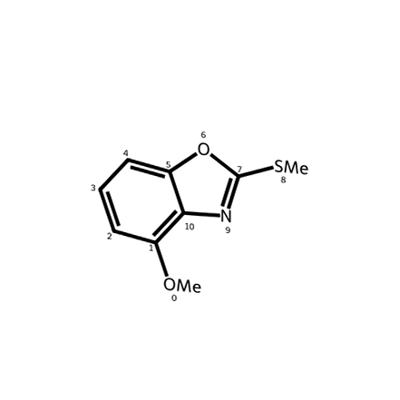 COc1cccc2oc(SC)nc12